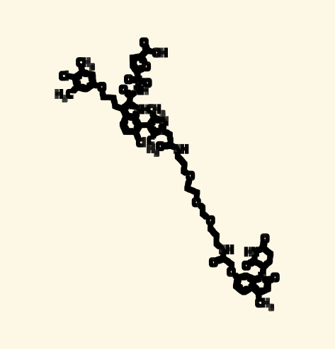 Cc1cc(OCCCc2c(C(=O)NS(=O)(=O)c3ccc(C(=O)O)o3)[nH]c3c(-c4c(C)nn(CC(=O)NCCCOCCOCCOCCCNC(=O)COc5ccc6c(C)cc(=O)n(C7CCC(=O)NC7=O)c6c5)c4C)c(Cl)ccc23)cc(C)c1Cl